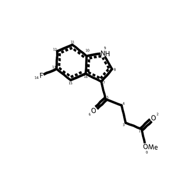 COC(=O)CCC(=O)c1c[nH]c2ccc(F)cc12